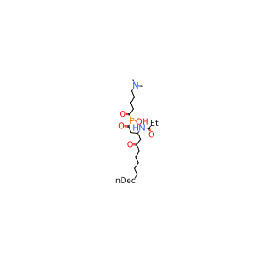 CCCCCCCCCCCCCCCC(=O)CC(CC(=O)P(O)C(=O)CCCCN(C)C)NC(=O)CC